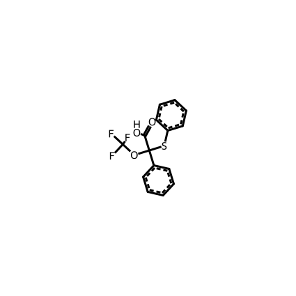 O=C(O)C(OC(F)(F)F)(Sc1ccccc1)c1ccccc1